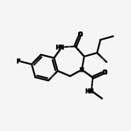 CCC(C)C1C(=O)Nc2cc(F)ccc2CN1C(=O)NC